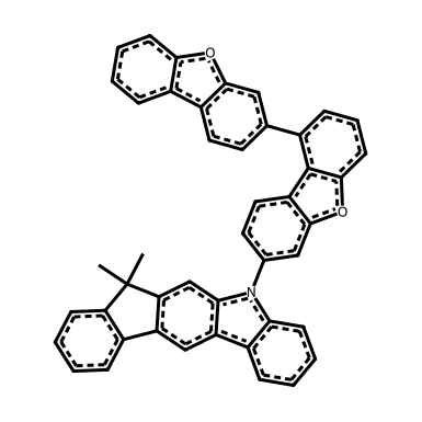 CC1(C)c2ccccc2-c2cc3c4ccccc4n(-c4ccc5c(c4)oc4cccc(-c6ccc7c(c6)oc6ccccc67)c45)c3cc21